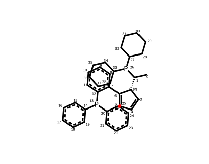 CC([C@@H]1C=CC=C1c1ccccc1P(c1ccccc1)c1ccccc1)P(C1CCCCC1)C1CCCCC1